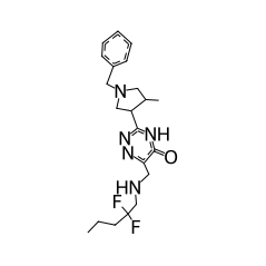 CCCC(F)(F)CNCc1nnc(C2CN(Cc3ccccc3)CC2C)[nH]c1=O